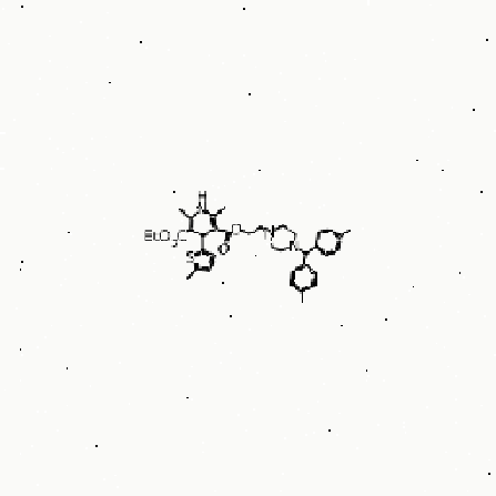 CCOC(=O)C1=C(C)NC(C)=C(C(=O)OCCN2CCN(C(c3ccc(C)cc3)c3ccc(C)cc3)CC2)C1c1ccc(C)s1